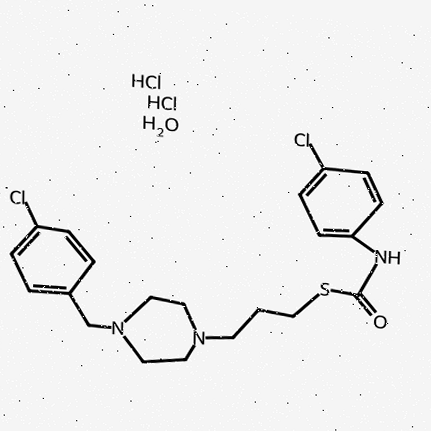 Cl.Cl.O.O=C(Nc1ccc(Cl)cc1)SCCCN1CCN(Cc2ccc(Cl)cc2)CC1